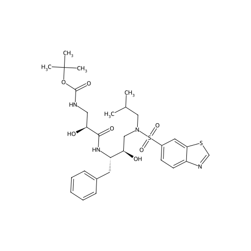 CC(C)CN(C[C@@H](O)[C@H](Cc1ccccc1)NC(=O)[C@@H](O)CNC(=O)OC(C)(C)C)S(=O)(=O)c1ccc2ncsc2c1